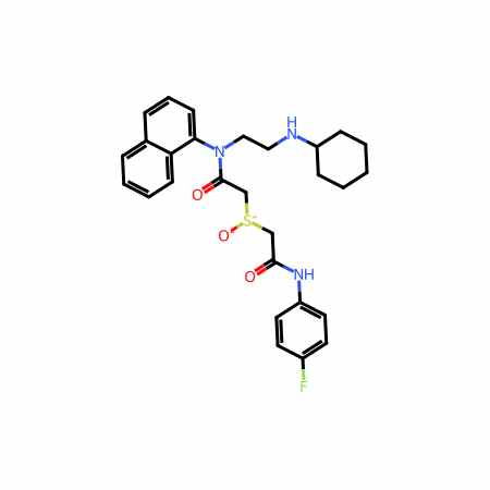 O=C(C[S+]([O-])CC(=O)N(CCNC1CCCCC1)c1cccc2ccccc12)Nc1ccc(F)cc1